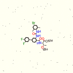 COC(=O)[C@@H](NC(=O)c1ccc(-c2ccc(F)c(F)c2)cc1NC(=O)Nc1c(C)cc(Br)cc1C)[C@@H](C)OC(C)(C)C